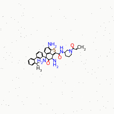 C=CC(=O)N1CCCC(NC(=O)c2sc3c(N)ccc4c3c2C(N)C(=O)C4(N)c2cccc(-c3ccccc3C)c2)C1